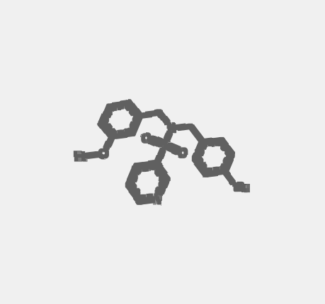 CCOc1cccc(CN(Cc2ccc(C(C)(C)C)cc2)S(=O)(=O)c2cccnc2)c1